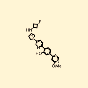 COc1cc(-c2ccc(-c3ccc(N4CC[C@H](N[C@H]5C[C@@H](F)C5)C4)nn3)c(O)c2)ncn1